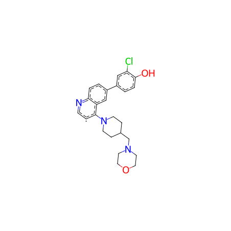 Oc1ccc(-c2ccc3nc[c]c(N4CCC(CN5CCOCC5)CC4)c3c2)cc1Cl